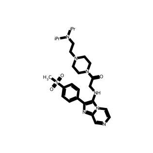 CC(C)N(CCN1CCN(C(=O)CNc2c(-c3ccc(S(C)(=O)=O)cc3)nc3cnccn23)CC1)C(C)C